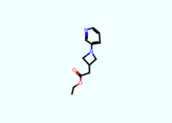 CCOC(=O)CC1CN(c2cccnc2)C1